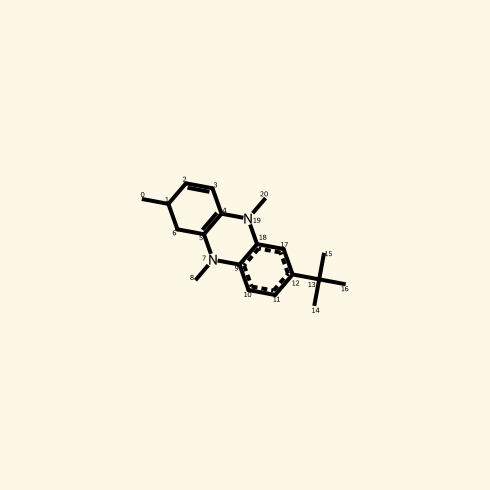 CC1C=CC2=C(C1)N(C)c1ccc(C(C)(C)C)cc1N2C